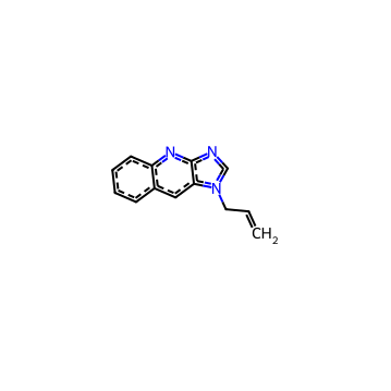 C=CCn1cnc2nc3ccccc3cc21